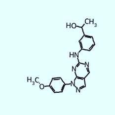 COc1ccc(-n2ncc3cnc(Nc4cccc(C(C)O)c4)nc32)cc1